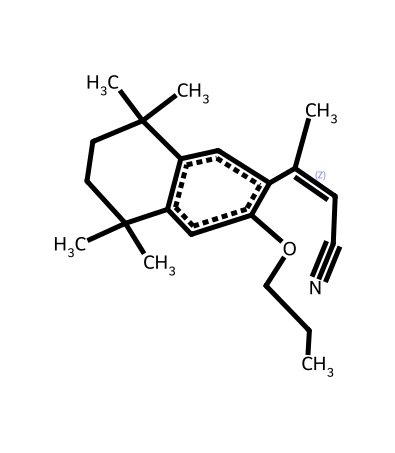 CCCOc1cc2c(cc1/C(C)=C\C#N)C(C)(C)CCC2(C)C